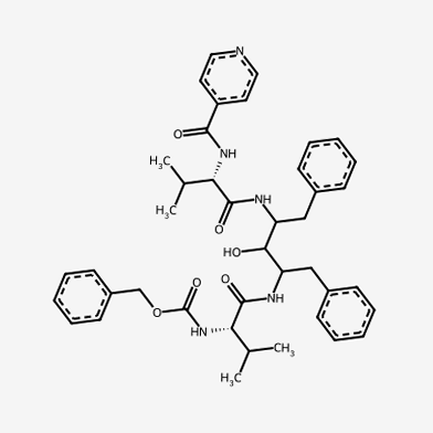 CC(C)[C@H](NC(=O)OCc1ccccc1)C(=O)NC(Cc1ccccc1)C(O)C(Cc1ccccc1)NC(=O)[C@@H](NC(=O)c1ccncc1)C(C)C